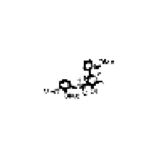 COCN1CCCC1c1nc(C(=O)NCc2cccc(OC)c2OC)c(O)c(=O)n1C